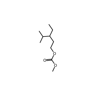 CCC(CCOC(=O)OC)C(C)C